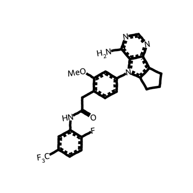 COc1cc(-n2c3c(c4ncnc(N)c42)CCC3)ccc1CC(=O)Nc1cc(C(F)(F)F)ccc1F